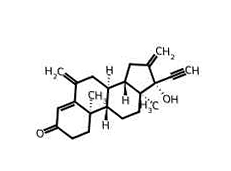 C#C[C@]1(O)C(=C)C[C@H]2[C@@H]3CC(=C)C4=CC(=O)CC[C@]4(C)[C@H]3CC[C@@]21C